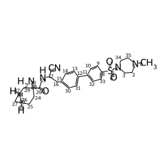 CN1CCN(S(=O)(=O)c2ccc(-c3ccc(CC(C#N)NC(=O)[C@@]4(N)CC[C@@H]5C[C@@H]5C4)cc3)cc2)CC1